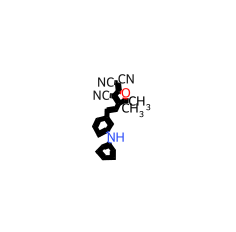 CC1(C)OC(=C(C#N)C#N)C(C#N)=C1C=Cc1cccc(Nc2ccccc2)c1